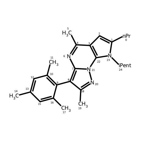 CCCc1cc2c(C)nc3c(-c4c(C)cc(C)cc4C)c(C)nn3c2n1C(C)CCC